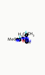 COc1cc2c(F)c(-n3ccn(-c4c5c(nn4-c4cc(C)c(F)c(C)c4)C[C@H]4CC[C@@H]5N4)c3=O)ccn2n1